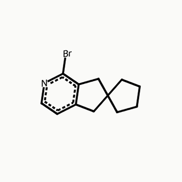 Brc1nccc2c1CC1(CCCC1)C2